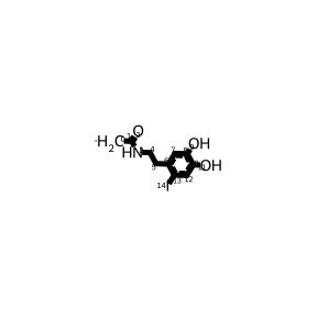 [CH2]C(=O)NCCc1cc(O)c(O)cc1I